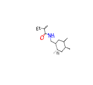 C=C(CC)C(=O)NCC1CC(C)C(C)C[C@@H]1C